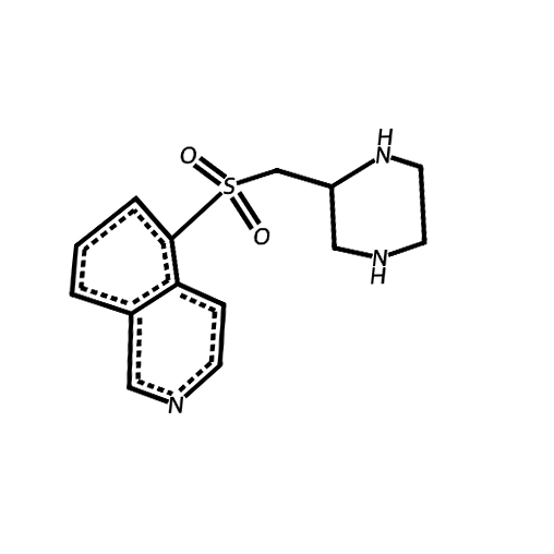 O=S(=O)(CC1CNCCN1)c1cccc2cnccc12